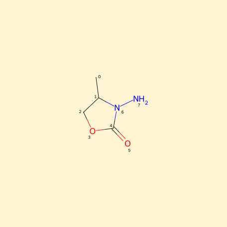 CC1COC(=O)N1N